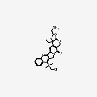 CCC1(OC(=O)CN)C(=O)OCc2c1cc1n(c2=O)Cc2c-1nc1ccccc1c2[Si](C)(C)CCl